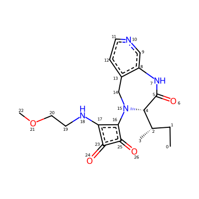 CC[C@H](C)[C@H]1C(=O)Nc2cnccc2CN1c1c(NCCOC)c(=O)c1=O